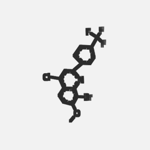 COc1ccc2c(Cl)cc(-c3ccc(C(F)(F)F)cc3)nc2c1Br